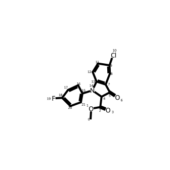 COC(=O)C1C(=O)c2cc(Cl)ccc2N1c1ccc(F)cc1